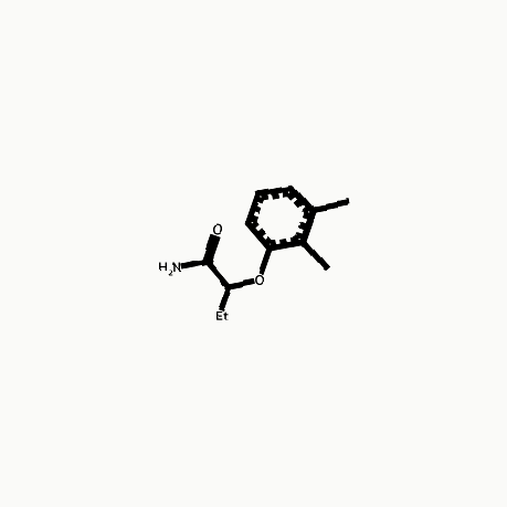 CCC(Oc1cccc(C)c1C)C(N)=O